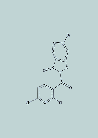 O=C(c1ccc(Cl)cc1Cl)C1Oc2cc(Br)ccc2C1=O